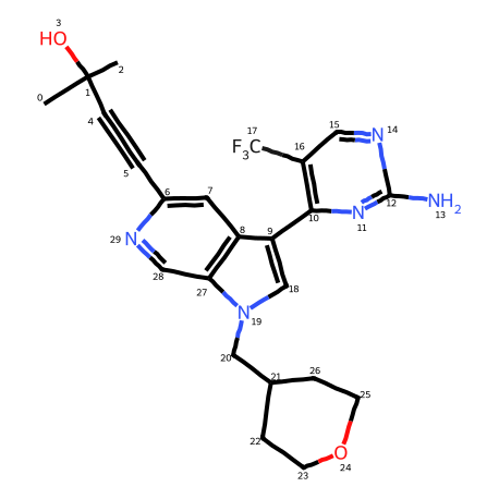 CC(C)(O)C#Cc1cc2c(-c3nc(N)ncc3C(F)(F)F)cn(CC3CCOCC3)c2cn1